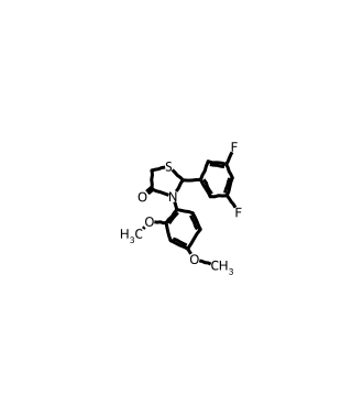 COc1ccc(N2C(=O)CSC2c2cc(F)cc(F)c2)c(OC)c1